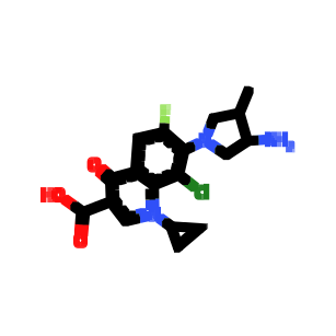 CC1CN(c2c(F)cc3c(=O)c(C(=O)O)cn(C4CC4)c3c2Cl)CC1N